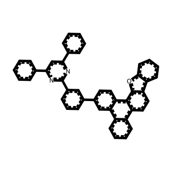 c1ccc(-c2cc(-c3ccccc3)nc(-c3cccc(-c4ccc5c(c4)c4ccccc4c4ccc6c7ccccc7oc6c45)c3)n2)cc1